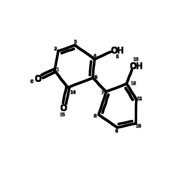 O=C1C=CC(O)=C(c2ccccc2O)C1=O